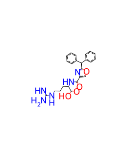 N=C(N)NCCCC(NC(=O)c1coc(C(c2ccccc2)c2ccccc2)n1)C(=O)O